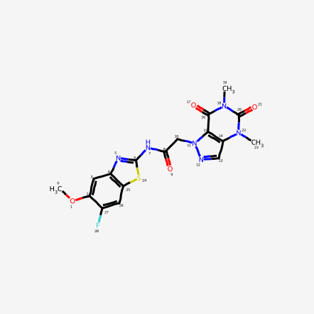 COc1cc2nc(NC(=O)Cn3ncc4c3c(=O)n(C)c(=O)n4C)sc2cc1F